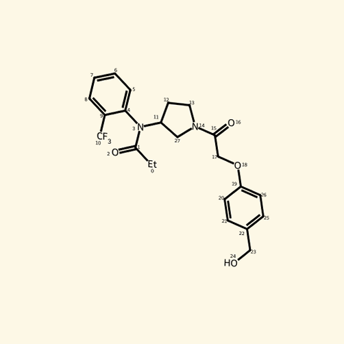 CCC(=O)N(c1ccccc1C(F)(F)F)C1CCN(C(=O)COc2ccc(CO)cc2)C1